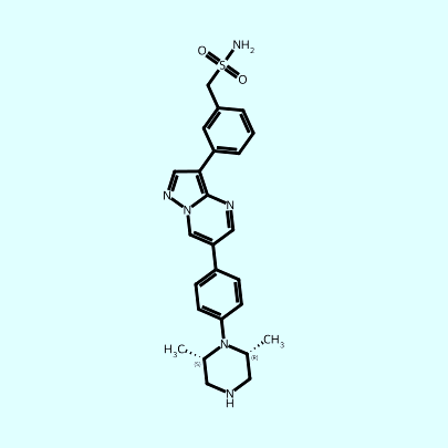 C[C@@H]1CNC[C@H](C)N1c1ccc(-c2cnc3c(-c4cccc(CS(N)(=O)=O)c4)cnn3c2)cc1